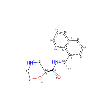 C[C@H](NC(=O)[C@@H]1CNCCO1)c1cccc2ccccc12